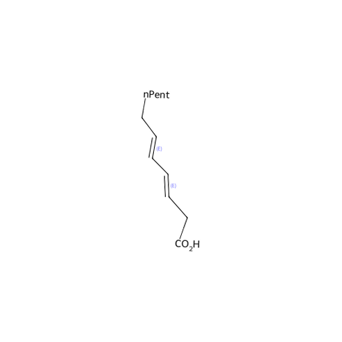 CCCCCC/C=C/C=C/CC(=O)O